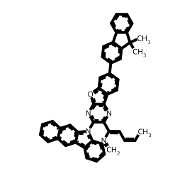 C=N/C(=C\C=C/C)c1nc2c(nc1-n1c3ccccc3c3cc4ccccc4cc31)oc1cc(-c3ccc4c(c3)C(C)(C)c3ccccc3-4)ccc12